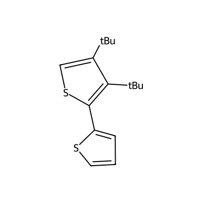 CC(C)(C)c1csc(-c2cccs2)c1C(C)(C)C